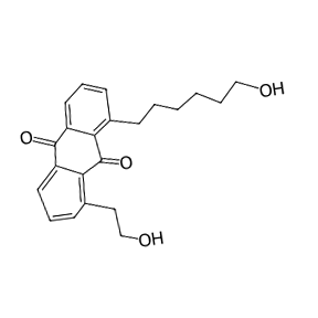 O=C1c2cccc(CCO)c2C(=O)c2c(CCCCCCO)cccc21